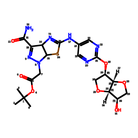 CC(C)(C)OC(=O)CN1N=C(C(N)=O)C2N=C(Nc3cnc(O[C@@H]4CO[C@H]5[C@@H]4OC[C@H]5O)nc3)SC21